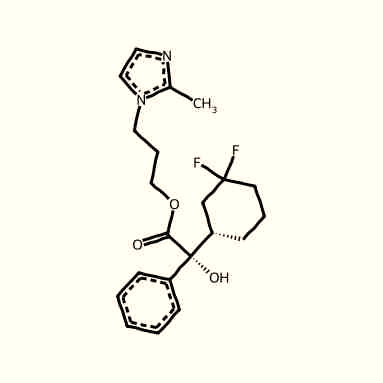 Cc1nccn1CCCOC(=O)[C@](O)(c1ccccc1)[C@H]1CCCC(F)(F)C1